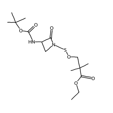 CCOC(=O)C(C)(C)COSN1CC(NC(=O)OC(C)(C)C)C1=O